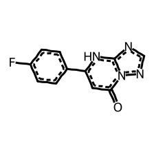 O=c1cc(-c2ccc(F)cc2)[nH]c2ncnn12